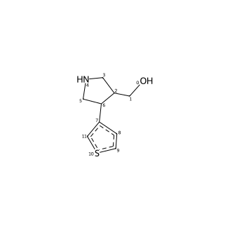 OCC1CNCC1c1ccsc1